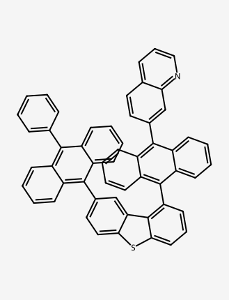 c1ccc(-c2c3ccccc3c(-c3ccc4sc5cccc(-c6c7ccccc7c(-c7ccc8cccnc8c7)c7ccccc67)c5c4c3)c3ccccc23)cc1